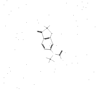 CC(C)(C)N(C(=O)O)c1ccc2c(c1)CC(F)(F)C2=O